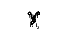 Nc1ccc2c(c1)CCc1nc(NC(=O)Cc3ccccc3)c(CCc3ccccc3)nc1-2